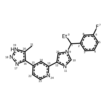 CCC(c1cccc(F)c1)n1cnc(-c2cc(-c3nn[nH]c3C)ccn2)c1